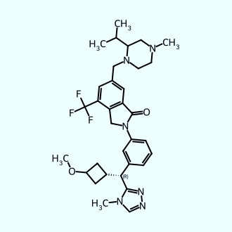 COC1CC([C@H](c2cccc(N3Cc4c(cc(CN5CCN(C)CC5C(C)C)cc4C(F)(F)F)C3=O)c2)c2nncn2C)C1